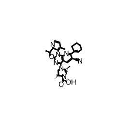 Cc1ccnc(C(C)C)c1-n1c(=O)nc(N2C[C@@H](C)N(C(=O)O)C[C@@H]2C)c2cc(C#N)c(C3=CCCCC3)nc21